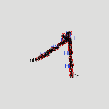 CCCOCCOCCOCCOCCNC(=O)CCOCCOCCOCCOCCNC(=O)CCOCCOCCOCCOCCNC(=O)C(NC(=O)CCCN1C(=O)C=CC1=O)C(NC(=O)CCCN1C(=O)C=CC1=O)C(=O)NCCOCCOCCOCCOCCC(=O)NCCOCCOCCOCCOCCC(=O)NCCOCCOCCOCCOCCC